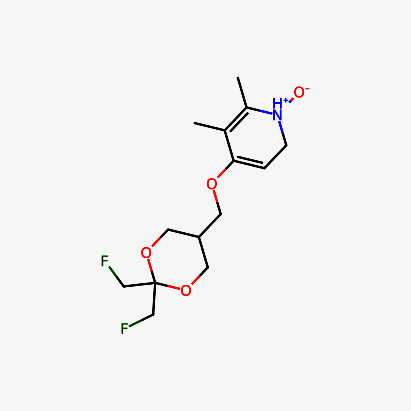 CC1=C(C)[NH+]([O-])CC=C1OCC1COC(CF)(CF)OC1